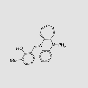 CC(C)(C)c1cccc(/C=N/C2=CC=CC=CC2N(P)c2ccccc2)c1O